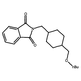 CCCCOCC1CCC(CN2C(=O)c3ccccc3C2=O)CC1